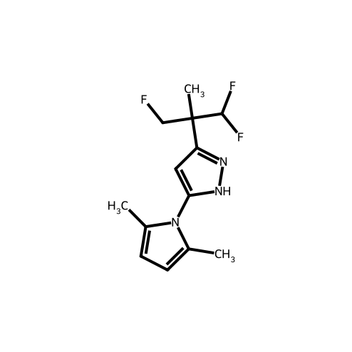 Cc1ccc(C)n1-c1cc(C(C)(CF)C(F)F)n[nH]1